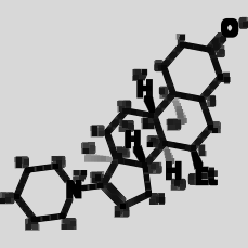 CC[C@@H]1CC2CC(=O)CC[C@]2(C)[C@H]2CC[C@]3(C)C(N4CCCCC4)=CC[C@H]3[C@H]12